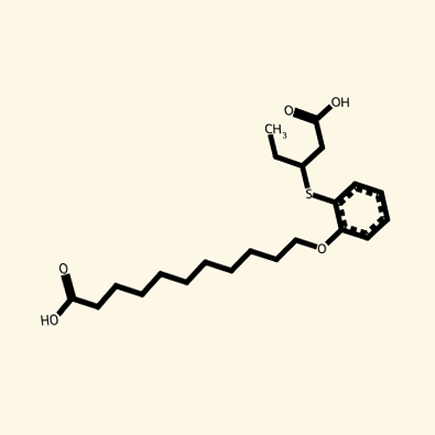 CCC(CC(=O)O)Sc1ccccc1OCCCCCCCCCCC(=O)O